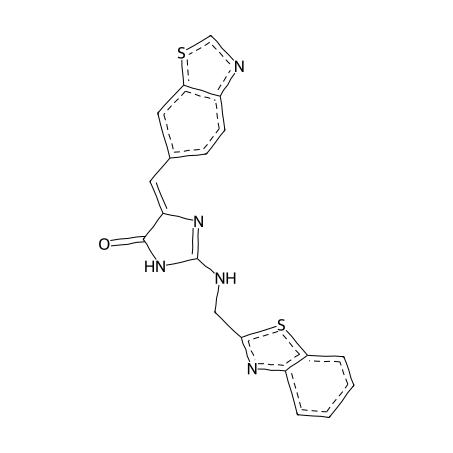 O=C1NC(NCc2nc3ccccc3s2)=N/C1=C\c1ccc2ncsc2c1